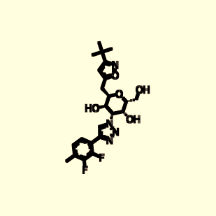 Cc1ccc(-c2cn([C@H]3[C@@H](O)[C@@H](CO)O[C@H](Cc4cc(C(C)(C)C)no4)[C@@H]3O)nn2)c(F)c1F